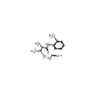 Cc1ccccc1NC(=O)C(N)C(C)C.O=CO